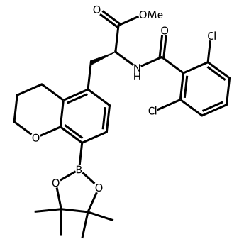 COC(=O)[C@H](Cc1ccc(B2OC(C)(C)C(C)(C)O2)c2c1CCCO2)NC(=O)c1c(Cl)cccc1Cl